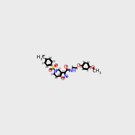 COc1ccc(OCCNC(=O)c2noc3c2CN(S(=O)(=O)c2ccc(C)cc2)CC3)cc1